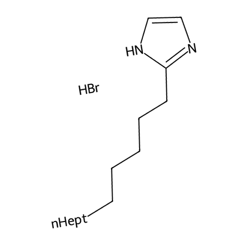 Br.CCCCCCCCCCCCc1ncc[nH]1